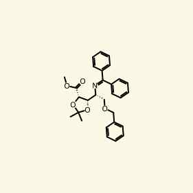 COC(=O)[C@H]1OC(C)(C)O[C@H]1[C@@H](COCc1ccccc1)N=C(c1ccccc1)c1ccccc1